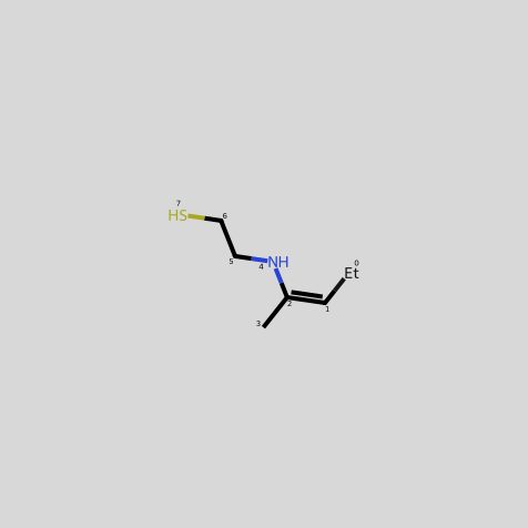 CCC=C(C)NCCS